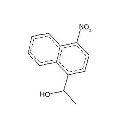 CC(O)c1ccc([N+](=O)[O-])c2ccccc12